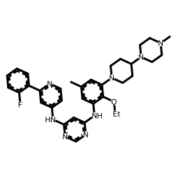 CCOc1c(Nc2cc(Nc3ccnc(-c4ccccc4F)c3)ncn2)cc(C)cc1N1CCC(N2CCN(C)CC2)CC1